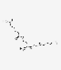 CCCCOCCOC(C)CCOC(=O)CCCCC(=O)O